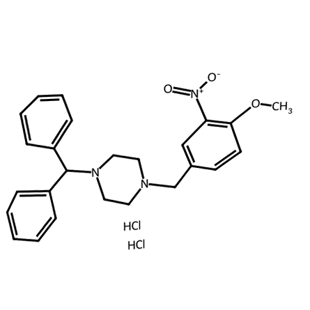 COc1ccc(CN2CCN(C(c3ccccc3)c3ccccc3)CC2)cc1[N+](=O)[O-].Cl.Cl